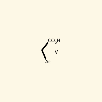 CC(=O)CC(=O)O.[V]